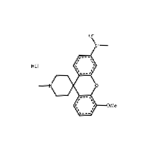 COc1cccc2c1Oc1cc([S+](C)[O-])ccc1C21CCN(C)CC1.Cl